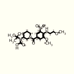 COCCNc1c(OC)cc(C(=O)N2CCCC(N(C(=O)O)C(C)(C)C)C2)cc1[N+](=O)[O-]